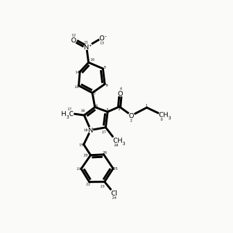 CCOC(=O)c1c(-c2ccc([N+](=O)[O-])cc2)c(C)n(Cc2ccc(Cl)cc2)c1C